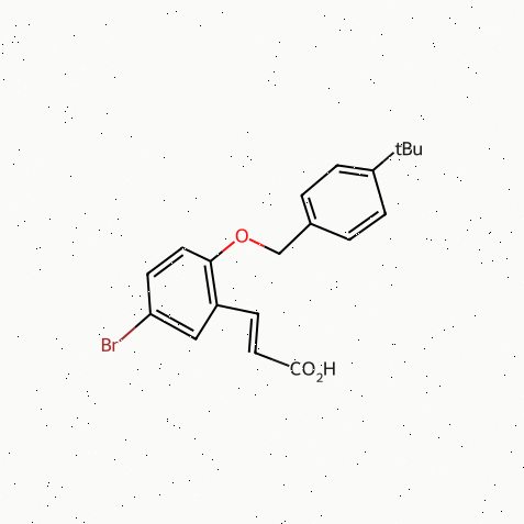 CC(C)(C)c1ccc(COc2ccc(Br)cc2/C=C/C(=O)O)cc1